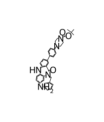 CC(C)(C)OC(=O)N1CCN(c2ccc(-c3ccc4c(c3)C(=O)N(Cc3ccccc3)c3cc(N)ccc3N4)cc2)CC1